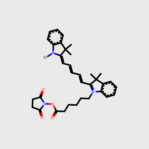 CCN1/C(=C/C=C/C=C/C2=[N+](CCCCCC(=O)ON3C(=O)CCC3=O)c3ccccc3C2(C)C)C(C)(C)c2ccccc21